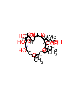 C=C1C(C)CC2CC[C@@H]3OC(CCC(O)/C=C/C(O)C4O[C@H]5CC[C@H](CC(=O)CC6[C@H](CC1O2)O[C@H](CC(O)CO)[C@@H]6OC)OC5[C@H](O)[C@@H]4O)CC3=C